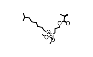 C=C(C)C(=O)OCCC[Si](OC)(OC)OCCCCCCC(C)C